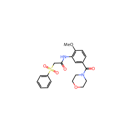 COc1ccc(C(=O)N2CCOCC2)cc1NC(=O)CS(=O)(=O)c1ccccc1